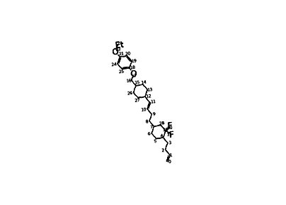 C=CCCC1CCC(CC/C=C/C2CCC(COc3ccc(OCC)cc3)CC2)CC1(F)F